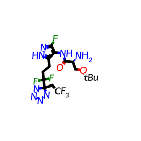 CC(C)(C)OC[C@H](N)C(=O)Nc1c(F)n[nH]c1CCC(F)(F)C1(CC(F)(F)F)N=NN=N1